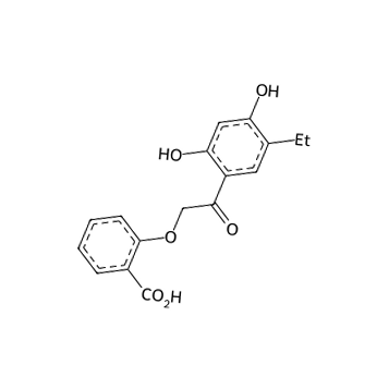 CCc1cc(C(=O)COc2ccccc2C(=O)O)c(O)cc1O